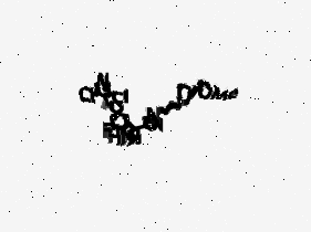 COCCOCCCCn1cc(-c2n[nH]c3c(F)cc(O[C@H](C)c4c(Cl)cncc4Cl)cc23)cn1